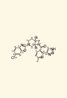 Cc1ccc(C(=O)N2C[C@H]3CCN(c4nc5ccc(Cl)cc5o4)C[C@H]32)c(-c2c[nH]nn2)n1